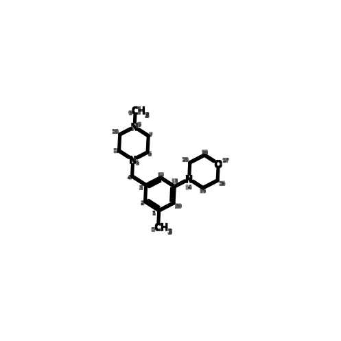 Cc1cc(CN2CCN(C)CC2)cc(N2CCOCC2)c1